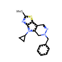 CSc1nc2c(s1)c1c(n2C2CC2)CN(Cc2ccccc2)N=C1